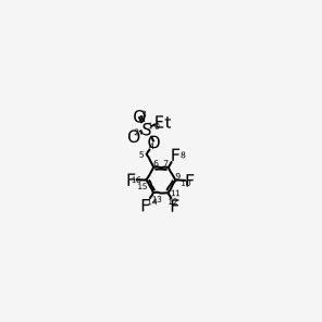 CCS(=O)(=O)OCc1c(F)c(F)c(F)c(F)c1F